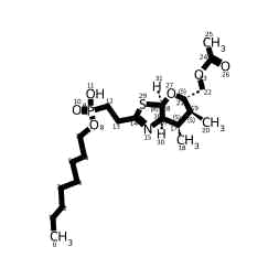 CCCCCCCCOP(=O)(O)CCC1=N[C@@H]2[C@@H](C)[C@H](C)[C@@H](COC(C)=O)O[C@@H]2S1